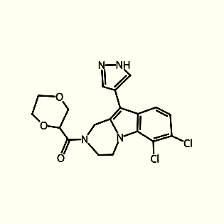 O=C(C1COCCO1)N1CCn2c(c(-c3cn[nH]c3)c3ccc(Cl)c(Cl)c32)C1